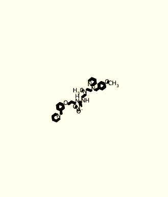 COc1ccc(CN(CCN(C)CCN/C(=C/[N+](=O)[O-])NCCCOc2cccc(CN3CCCCC3)c2)c2ccccn2)cc1